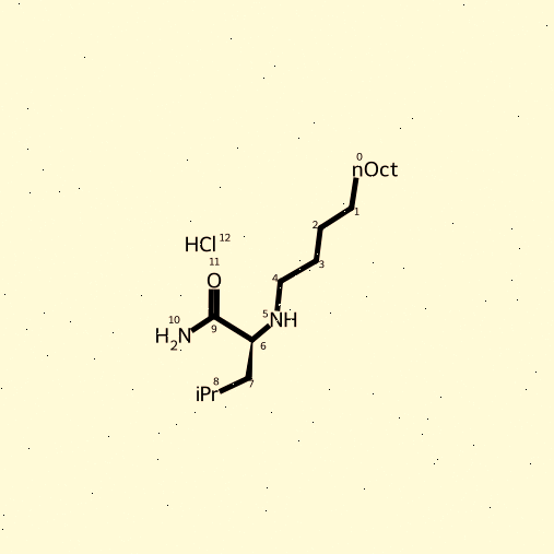 CCCCCCCCCCCCN[C@@H](CC(C)C)C(N)=O.Cl